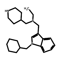 CCN(Cc1cn(CC2CCCCC2)c2ccccc12)CC1CCNCC1